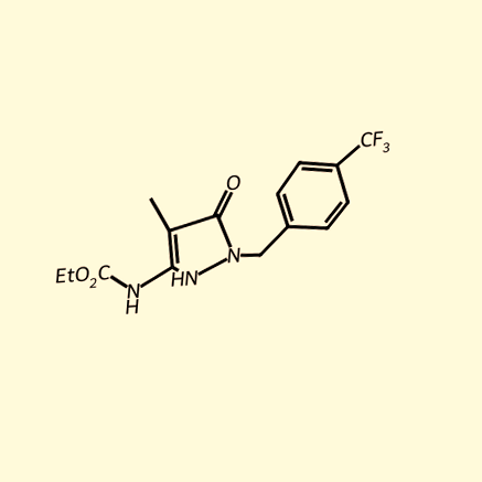 CCOC(=O)Nc1[nH]n(Cc2ccc(C(F)(F)F)cc2)c(=O)c1C